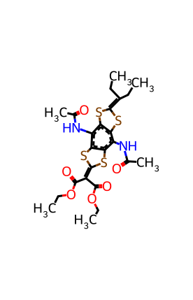 CCOC(=O)C(C(=O)OCC)=C1Sc2c(NC(C)=O)c3c(c(NC(C)=O)c2S1)SC(=C(CC)CC)S3